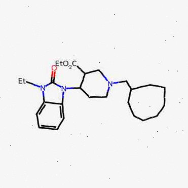 CCOC(=O)C1CN(CC2CCCCCCC2)CCC1n1c(=O)n(CC)c2ccccc21